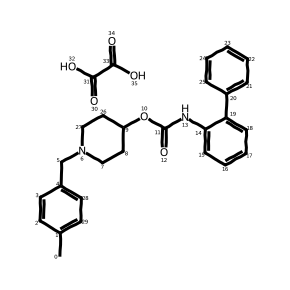 Cc1ccc(CN2CCC(OC(=O)Nc3ccccc3-c3ccccc3)CC2)cc1.O=C(O)C(=O)O